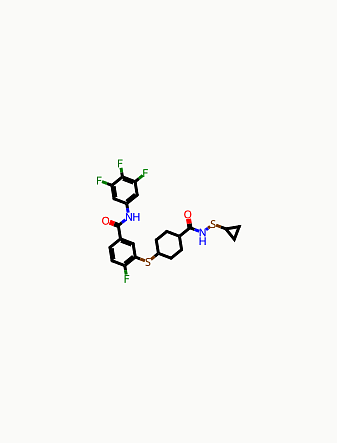 O=C(Nc1cc(F)c(F)c(F)c1)c1ccc(F)c(SC2CCC(C(=O)NSC3CC3)CC2)c1